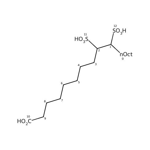 CCCCCCCCC(C(CCCCCCCC(=O)O)S(=O)(=O)O)S(=O)(=O)O